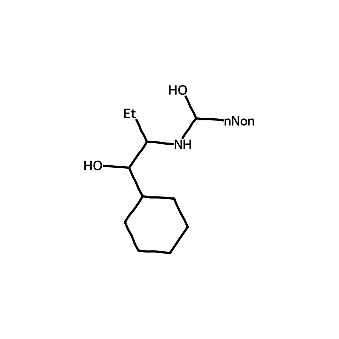 CCCCCCCCCC(O)NC(CC)C(O)C1CCCCC1